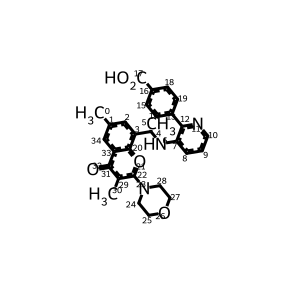 Cc1cc(C(C)Nc2cccnc2-c2ccc(C(=O)O)cc2)c2oc(N3CCOCC3)c(C)c(=O)c2c1